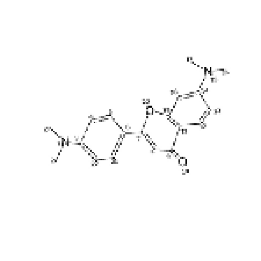 CN(C)c1ccc(-c2cc(=O)c3ccc(N(C)C)cc3o2)cc1